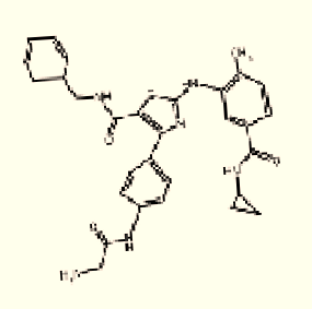 Cc1ccc(C(=O)NC2CC2)cc1Nc1nc(-c2ccc(NC(=O)CN)cc2)c(C(=O)NCC2C=CC=CC2)s1